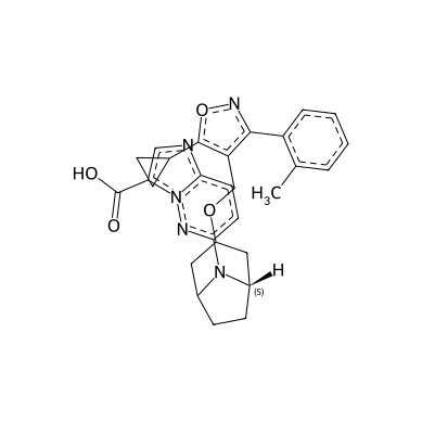 Cc1ccccc1-c1noc(C2CC2)c1COC1CC2CC[C@@H](C1)N2c1ccc2ncc(C(=O)O)n2n1